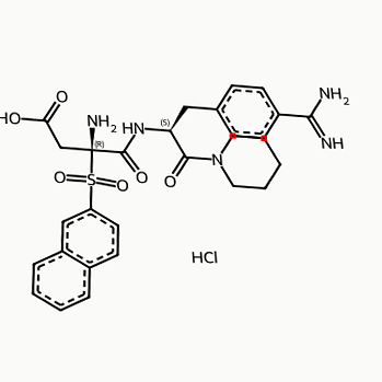 Cl.N=C(N)c1ccc(C[C@H](NC(=O)[C@@](N)(CC(=O)O)S(=O)(=O)c2ccc3ccccc3c2)C(=O)N2CCCCC2)cc1